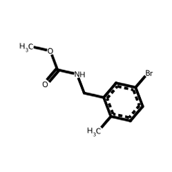 COC(=O)NCc1cc(Br)ccc1C